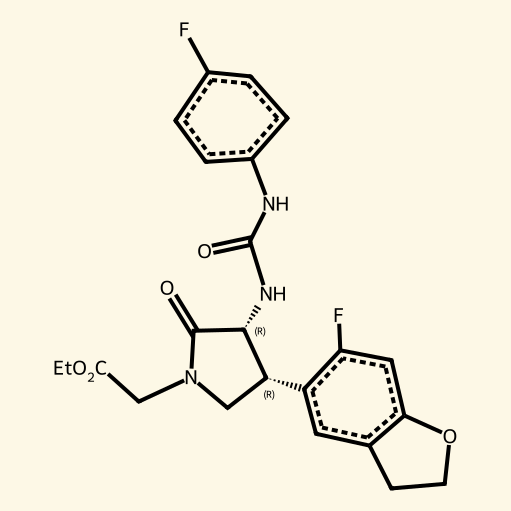 CCOC(=O)CN1C[C@@H](c2cc3c(cc2F)OCC3)[C@@H](NC(=O)Nc2ccc(F)cc2)C1=O